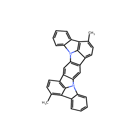 Cc1ccc2c3cc4c(cc3n3c5ccccc5c1c23)c1ccc(C)c2c3ccccc3n4c12